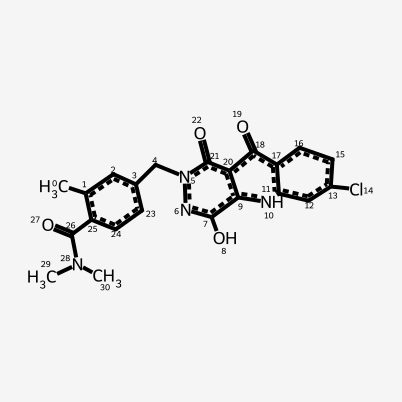 Cc1cc(Cn2nc(O)c3[nH]c4cc(Cl)ccc4c(=O)c3c2=O)ccc1C(=O)N(C)C